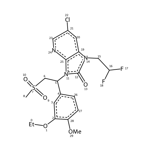 CCOc1cc(C(CS(C)(=O)=O)n2c(=O)n(CC(F)F)c3cc(Cl)cnc32)ccc1OC